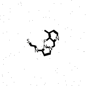 Cc1ccnc(Cn2ccc(N=CC=S)n2)c1F